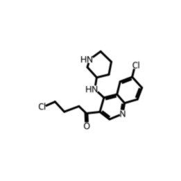 O=C(CCCCl)c1cnc2ccc(Cl)cc2c1NC1CCCNC1